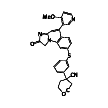 COc1ccncc1C1=CC2=NC(=O)CN2c2cc(Sc3cccc(C4(C#N)CCOCC4)c3)ccc21